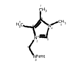 CCCCCC[n+]1cn(C)c(C)c1C